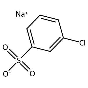 O=S(=O)([O-])c1cccc(Cl)c1.[Na+]